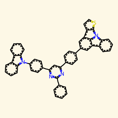 c1ccc(-c2nc(-c3ccc(-c4cc5c6ccccc6n6c7sccc7c(c4)c56)cc3)cc(-c3ccc(-n4c5ccccc5c5ccccc54)cc3)n2)cc1